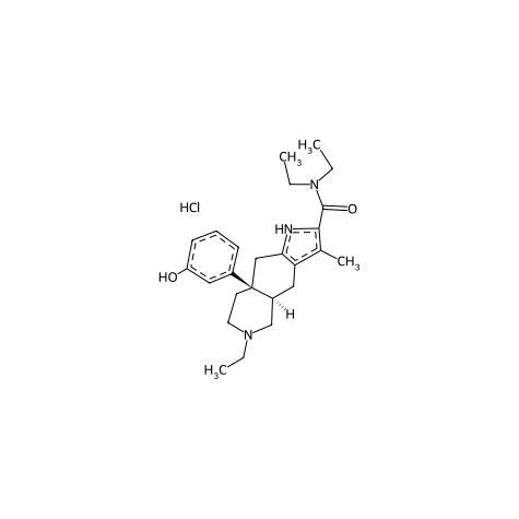 CCN1CC[C@]2(c3cccc(O)c3)Cc3[nH]c(C(=O)N(CC)CC)c(C)c3C[C@H]2C1.Cl